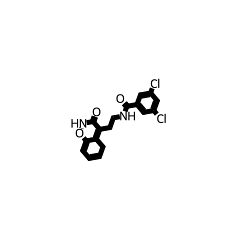 O=C1NOC2=CC=CCC2=C1CCNC(=O)c1cc(Cl)cc(Cl)c1